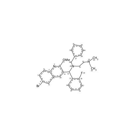 COc1nc2ccc(Br)cc2cc1C(c1ccccc1F)N(CCN(C)C)Cc1ccccc1